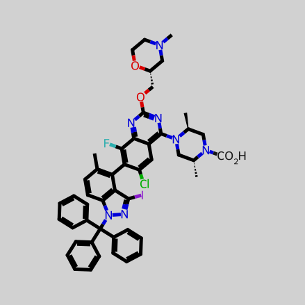 Cc1ccc2c(c(I)nn2C(c2ccccc2)(c2ccccc2)c2ccccc2)c1-c1c(Cl)cc2c(N3C[C@@H](C)N(C(=O)O)C[C@@H]3C)nc(OC[C@H]3CN(C)CCO3)nc2c1F